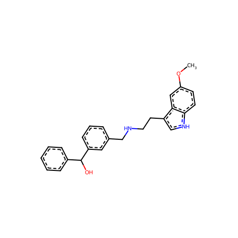 COc1ccc2[nH]cc(CCNCc3cccc(C(O)c4ccccc4)c3)c2c1